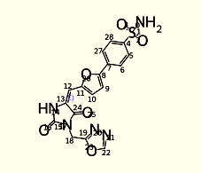 NS(=O)(=O)c1ccc(-c2ccc(/C=C3/NC(=O)N(Cc4nnco4)C3=O)o2)cc1